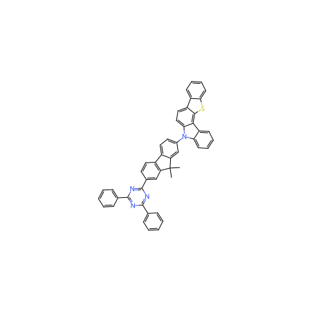 CC1(C)c2cc(-c3nc(-c4ccccc4)nc(-c4ccccc4)n3)ccc2-c2ccc(-n3c4ccccc4c4c5sc6ccccc6c5ccc43)cc21